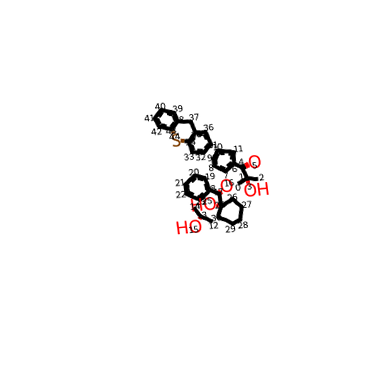 CC(C)(O)C(=O)c1ccccc1.CC(C)O.O=C(c1ccccc1)C1(O)CCCCC1.c1ccc2c(c1)Cc1ccccc1S2